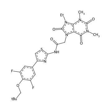 CCn1c(=O)n(CC(=O)Nc2nc(-c3cc(F)c(OCC(C)(C)C)c(F)c3)cs2)c2c(=O)n(C)c(=O)n(C)c21